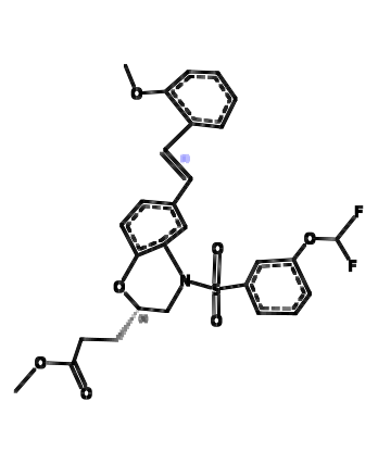 COC(=O)CC[C@H]1CN(S(=O)(=O)c2cccc(OC(F)F)c2)c2cc(/C=C/c3ccccc3OC)ccc2O1